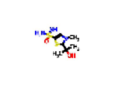 CN1C=C(S(=N)(N)=O)SC1C(C)(C)O